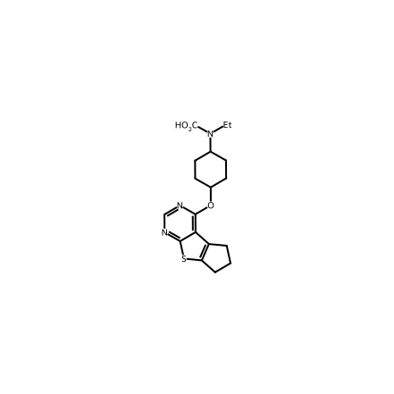 CCN(C(=O)O)C1CCC(Oc2ncnc3sc4c(c23)CCC4)CC1